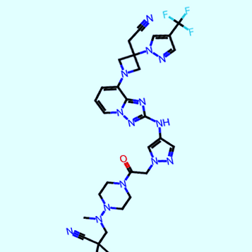 CN(CC1(C#N)CC1)N1CCN(C(=O)Cn2cc(Nc3nc4c(N5CC(CC#N)(n6cc(C(F)(F)F)cn6)C5)cccn4n3)cn2)CC1